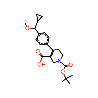 COC(c1ccc(C2=C(C(=O)O)CN(C(=O)OC(C)(C)C)CC2)cc1)C1CC1